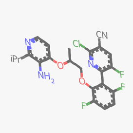 CC(COc1c(F)ccc(F)c1-c1nc(Cl)c(C#N)cc1F)Oc1ccnc(C(C)C)c1N